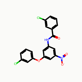 O=C(Nc1cc(Oc2cccc(Cl)c2)cc([N+](=O)[O-])c1)c1cccc(Cl)c1